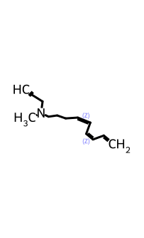 C#CCN(C)CCC/C=C\C=C/C=C